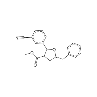 COC(=O)C1CN(Cc2ccccc2)OC1c1cccc(C#N)c1